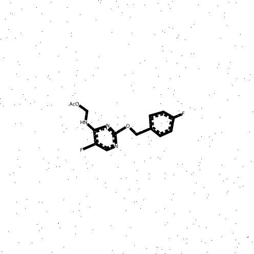 CC(=O)OCNc1nc(OCc2ccc(F)cc2)ncc1F